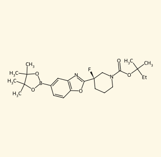 CCC(C)(C)OC(=O)N1CCC[C@](F)(c2nc3cc(B4OC(C)(C)C(C)(C)O4)ccc3o2)C1